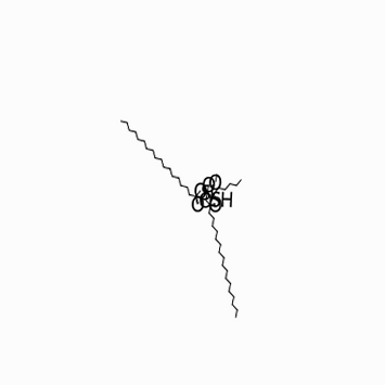 CCCCCCCCCCCCCCCCCC(=O)O[Si](OOC)(OC(=O)CCCCCCCCCCCCCCCCC)C(S)CCCCC